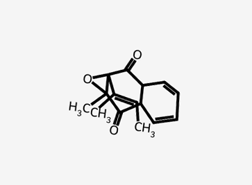 CC=C(C)C12OC1(C)C(=O)C1C=CC=CC1C2=O